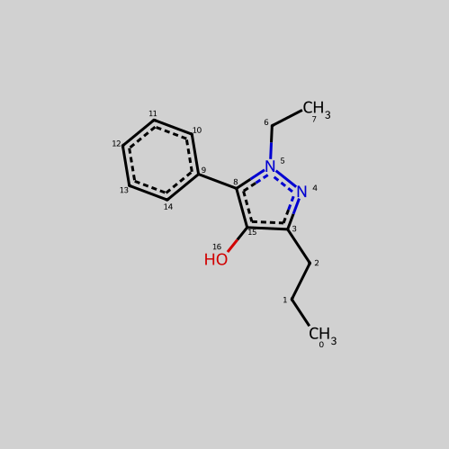 CCCc1nn(CC)c(-c2ccccc2)c1O